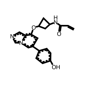 C=CC(=O)NC1CC(Oc2cc(-c3ccc(O)cc3)cn3cncc23)C1